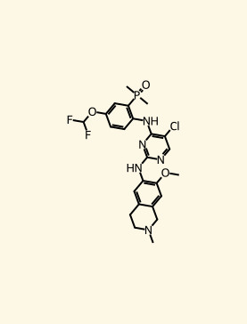 COc1cc2c(cc1Nc1ncc(Cl)c(Nc3ccc(OC(F)F)cc3P(C)(C)=O)n1)CCN(C)C2